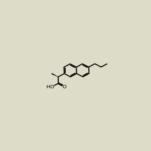 CCCc1ccc2cc([C@H](C)C(=O)O)ccc2c1